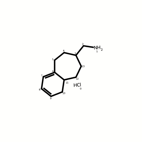 Cl.NCC1CCC2=CC=CCC2CC1